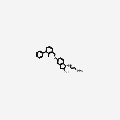 CC(=O)NCCN[C@@H]1c2ccc(OCc3cccc(-c4ccccc4)c3C)cc2C[C@@H]1O